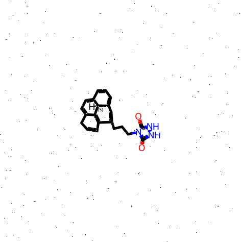 O=c1[nH][nH]c(=O)n1CCCC1=CC2=CC=CC3=CC=C4CC=CC1=C4[C@@H]32